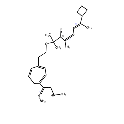 C/C(=C/C=C(\C)C1CCC1)[C@H](F)C(C)(C)OCCC1=CC=C(/C(CNN)=N/N)CC=C1